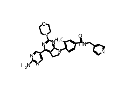 Cc1cc(C(=O)NCc2ccncc2)ccc1N1CCc2c(-c3cnc(N)nc3)nc(N3CCOCC3)nc21